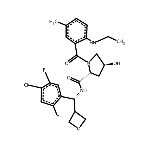 CCNc1ccc(C)cc1C(=O)N1C[C@@H](O)C[C@@H]1C(=O)N[C@@H](c1cc(F)c(Cl)cc1F)C1COC1